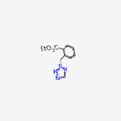 CCOC(=O)c1ccccc1Cn1ncnn1